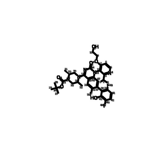 CC(C)c1nccc(OCCO)c1-n1c(=O)nc(N2C[C@H](C)N(C(=O)OC(C)(C)C)CC2C)c2cc(F)c(-c3c(F)ccc(F)c3O)cc21